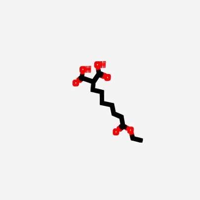 CCOC(=O)CCCCCCC(C(=O)O)C(=O)O